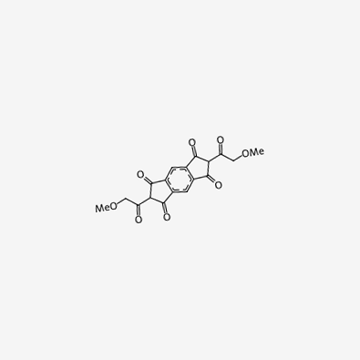 COCC(=O)C1C(=O)c2cc3c(cc2C1=O)C(=O)C(C(=O)COC)C3=O